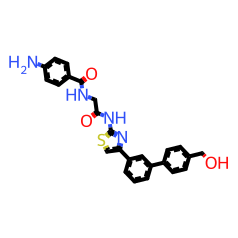 Nc1ccc(C(=O)NCC(=O)Nc2nc(-c3cccc(-c4ccc(CO)cc4)c3)cs2)cc1